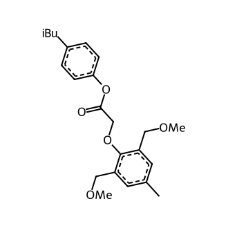 CCC(C)c1ccc(OC(=O)COc2c(COC)cc(C)cc2COC)cc1